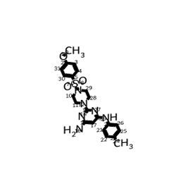 COc1ccc(S(=O)(=O)N2CCN(c3nc(N)cc(Nc4ccc(C)cc4)n3)CC2)cc1